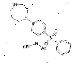 CCCN(C(C)=O)c1cc(N2CCCNCC2)ccc1S(=O)(=O)c1ccccc1